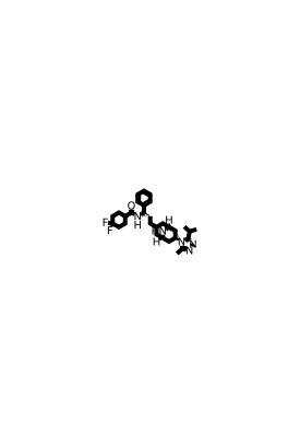 Cc1nnc(C(C)C)n1[C@@H]1C[C@H]2CC(CC[C@H](NC(=O)C3CCC(F)(F)CC3)c3ccccc3)C[C@@H](C1)N2